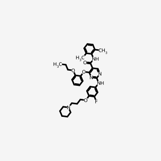 CCCOc1ccccc1Oc1nc(Nc2ccc(OCCCN3CCCCC3)c(F)c2)ncc1C(=O)Nc1c(C)cccc1C